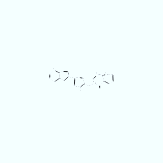 O=c1c2cccnc2ncn1Cc1ccc(-c2ccc3ncccc3c2)cc1F